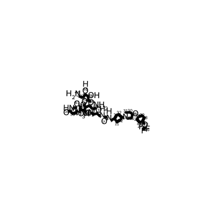 CN(CCCNC(=O)NCc1ccc(N2CCC(Oc3ccc(OC(F)(F)F)cc3)CC2)cc1)C(C(N)=O)C(OC1OC(CN)C(O)C1O)C1OCC(O)(n2ccc(=O)[nH]c2=O)C1O